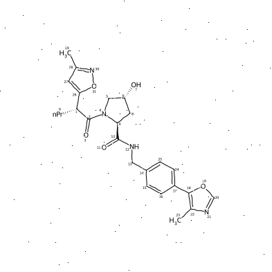 CCC[C@@H](C(=O)N1C[C@H](O)C[C@H]1C(=O)NCc1ccc(-c2ocnc2C)cc1)c1cc(C)no1